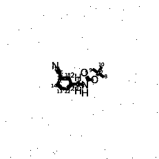 [2H]C([2H])(NC(=O)OC(C)(C)C)c1cccc(C#N)c1